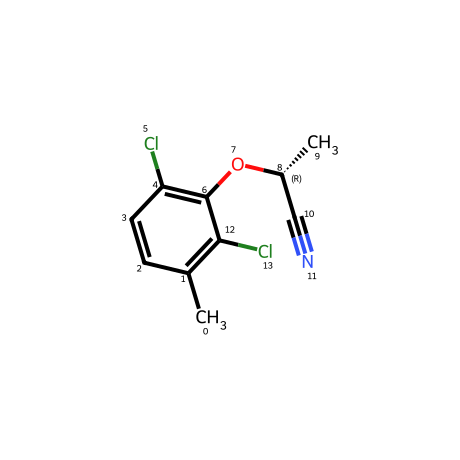 Cc1ccc(Cl)c(O[C@H](C)C#N)c1Cl